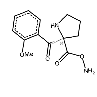 COc1ccccc1C(=O)[C@@]1(C(=O)ON)CCCN1